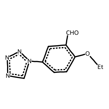 CCOc1ccc(-n2cnnn2)cc1C=O